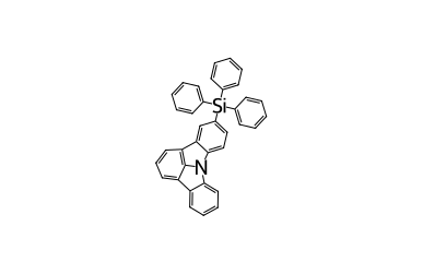 c1ccc([Si](c2ccccc2)(c2ccccc2)c2ccc3c(c2)c2cccc4c5ccccc5n3c42)cc1